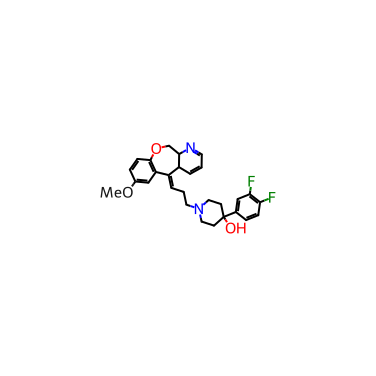 COc1ccc2c(c1)/C(=C/CCN1CCC(O)(c3ccc(F)c(F)c3)CC1)C1C=CC=NC1CO2